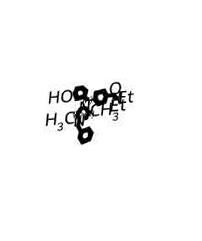 CCN(CC)C(=O)c1ccc([C@H](c2cccc(O)c2)N2C[C@@H](C)N(Cc3ccccc3)C[C@H]2C)cc1